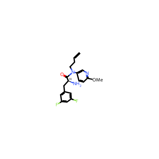 C=CCCN(C(=O)[C@@H](N)Cc1cc(F)cc(F)c1)c1ccc(OC)nc1